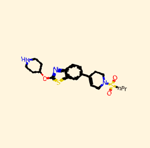 CCCS(=O)(=O)N1CC=C(c2ccc3nc(OC4CCNCC4)sc3c2)CC1